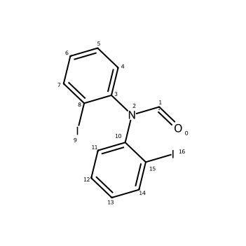 O=[C]N(c1ccccc1I)c1ccccc1I